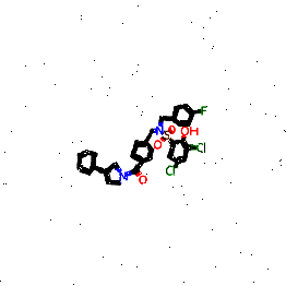 O=C(c1ccc(CN(Cc2ccc(F)cc2)S(=O)(=O)c2cc(Cl)cc(Cl)c2O)cc1)N1CCC(c2ccccc2)C1